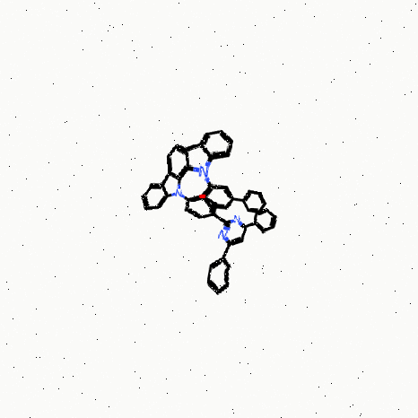 c1ccc(-c2cccc(-n3c4ccccc4c4ccc5c6ccccc6n(-c6ccc(-c7nc(-c8ccccc8)cc(-c8ccccc8)n7)cc6)c5c43)c2)cc1